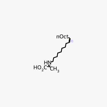 CCCCCCCC/C=C\CCCCCCCCN[C@@H](C)C(=O)O